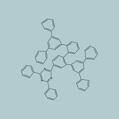 c1ccc(-c2cc(-c3ccccc3)cc(-c3ccccc3-c3ccc(-c4nc(-c5ccccc5)nc(-c5ccccc5)n4)cc3-c3cc(-c4ccccc4)cc(-c4ccccc4)c3)c2)cc1